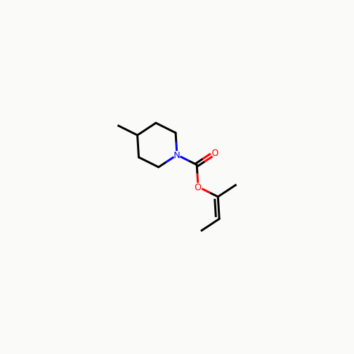 C/C=C(/C)OC(=O)N1CCC(C)CC1